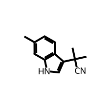 Cc1ccc2c(C(C)(C)C#N)c[nH]c2c1